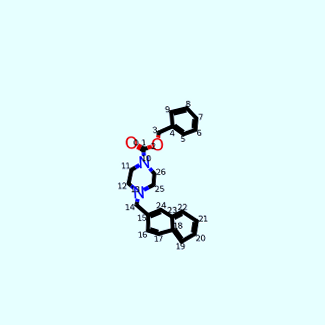 O=C(OCc1ccccc1)N1CCN(Cc2ccc3ccccc3c2)CC1